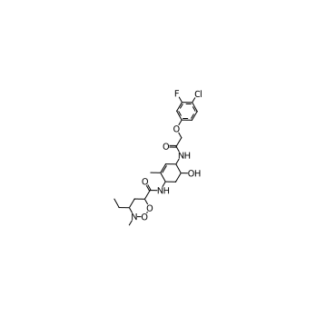 CCC1CC(C(=O)NC2CC(O)C(NC(=O)COc3ccc(Cl)c(F)c3)C=C2C)OON1C